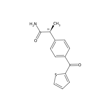 C[C@H](C(N)=O)c1ccc(C(=O)c2cccs2)cc1